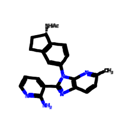 CC(=O)N[C@H]1CCc2cc(-n3c(-c4cccnc4N)nc4ccc(C)nc43)ccc21